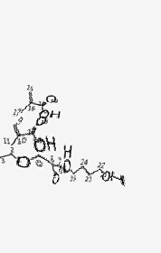 C(OCC1CO1)C1CO1.C=C(C)C(=O)O.C=C(C)C(=O)O.OCCCCO